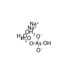 O.O.O.O=[As]([O-])([O-])O.[Na+].[Na+]